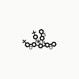 CC(C)(C)c1ccc(N2B3c4cc5c(cc4-n4c6cc7c(cc6c6ccc(c3c64)-c3cc4oc6ccc(C(C)(C)C)cc6c4cc32)oc2ccccc27)sc2ccccc25)cc1